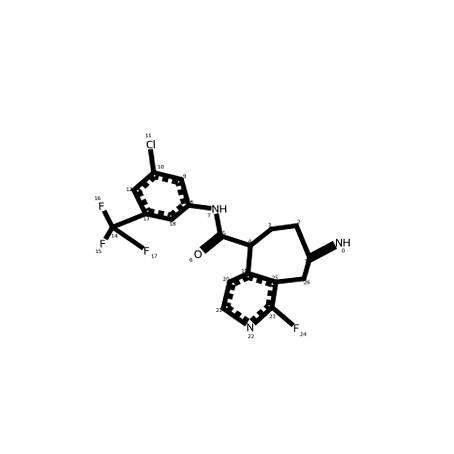 N=C1CCC(C(=O)Nc2cc(Cl)cc(C(F)(F)F)c2)c2ccnc(F)c2C1